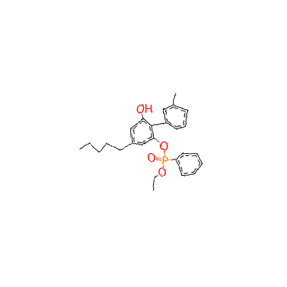 CCCCCc1cc(O)c(-c2cccc(C)c2)c(OP(=O)(OCC)c2ccccc2)c1